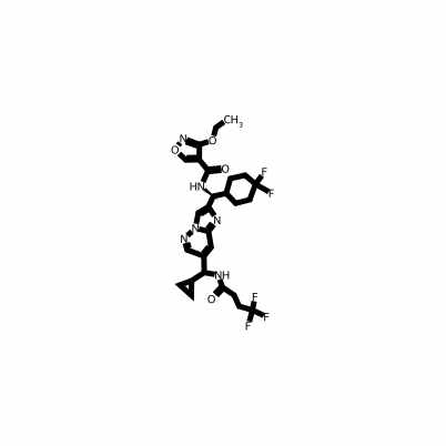 CCOc1nocc1C(=O)N[C@H](c1cn2ncc(C(NC(=O)CCC(F)(F)F)C3CC3)cc2n1)C1CCC(F)(F)CC1